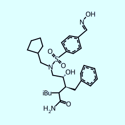 CCC(C)C(C(N)=O)[C@H](Cc1ccccc1)[C@@H](O)CN(CC1CCCC1)S(=O)(=O)c1ccc(/C=N/O)cc1